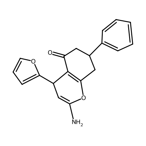 NC1=CC(c2ccco2)C2=C(CC(c3ccccc3)CC2=O)O1